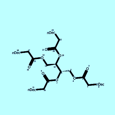 CCCCCCCCCCCC(=O)OC[C@H](OC(=O)CCCCCCCCCCC)[C@@H](COC(=O)CCCCCCCCCCC)OC(=O)CCCCCCCCCCC